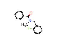 CN(Cc1ccccc1F)C(=O)c1ccccc1